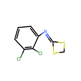 Clc1cccc(N=C2SCS2)c1Cl